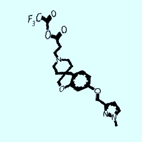 Cn1ccc(COc2ccc3c(c2)OCC32CCN(CCC(=O)OC(=O)C(F)(F)F)CC2)n1